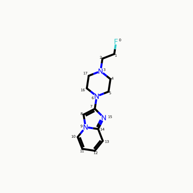 FCCN1CCN(c2cn3ccccc3n2)CC1